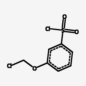 O=S(=O)(Cl)c1cccc(OCCl)c1